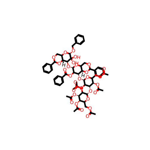 CC(=O)OCC1O[C@@H](O[C@@H]2C(OC(C)=O)[C@H](O[C@@H]3C(OC(=O)c4ccccc4)[C@H](O[C@H]4[C@@H]5OC(c6ccccc6)OCC5O[C@@H](OCc5ccccc5)C4(O)O)OC4COC(c5ccccc5)O[C@H]43)OC(COC(C)=O)[C@H]2OC(C)=O)C(OC(C)=O)[C@@H](OC(C)=O)[C@@H]1OC(C)=O